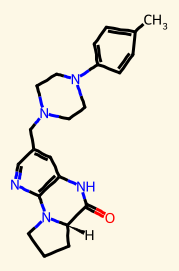 Cc1ccc(N2CCN(Cc3cnc4c(c3)NC(=O)[C@@H]3CCCN43)CC2)cc1